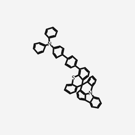 c1ccc(N(c2ccccc2)c2ccc(-c3ccc(-c4cccc5c4Sc4ccccc4C54c5ccccc5-n5c6ccccc6c6cccc4c65)cc3)cc2)cc1